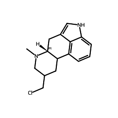 CN1CC(CCl)CC2c3cccc4[nH]cc(c34)C[C@H]21